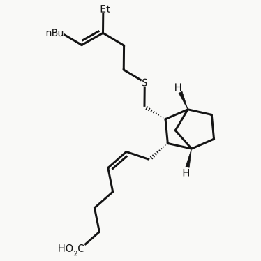 CCCCC=C(CC)CCSC[C@@H]1[C@@H]2CC[C@@H](C2)[C@@H]1C/C=C\CCCC(=O)O